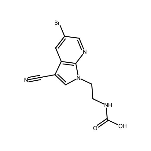 N#Cc1cn(CCNC(=O)O)c2ncc(Br)cc12